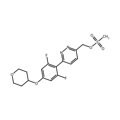 CS(=O)(=O)OCc1ccc(-c2c(F)cc(OC3CCOCC3)cc2F)nn1